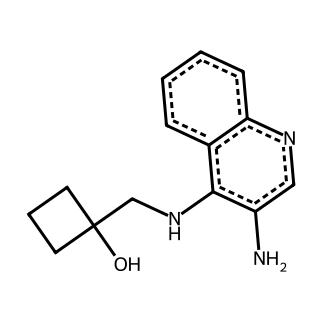 Nc1cnc2ccccc2c1NCC1(O)CCC1